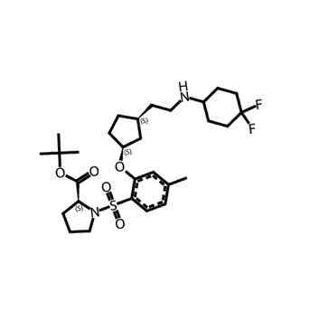 Cc1ccc(S(=O)(=O)N2CCC[C@H]2C(=O)OC(C)(C)C)c(O[C@H]2CC[C@@H](CCNC3CCC(F)(F)CC3)C2)c1